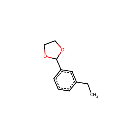 CCc1cccc(C2OCCO2)c1